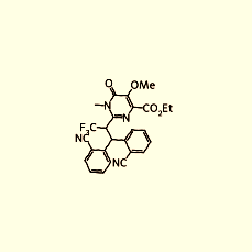 CCOC(=O)c1nc(C(C(c2ccccc2C#N)c2ccccc2C#N)C(F)(F)F)n(C)c(=O)c1OC